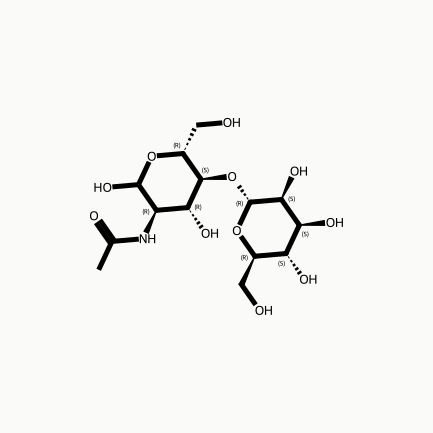 CC(=O)N[C@H]1C(O)O[C@H](CO)[C@@H](O[C@H]2O[C@H](CO)[C@@H](O)[C@H](O)[C@@H]2O)[C@@H]1O